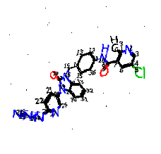 Cc1ncc(Cl)cc1C(=O)N[C@H]1CC[C@H](Cn2c(=O)n(-c3ccc(N=[N+]=[N-])nc3)c3ccccc32)CC1